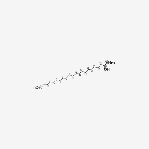 CCCCCCCCCCCCCCCCCCCCCCCCCCCCC[C@H](O)CCCCCC